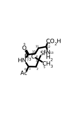 CC(=O)C(CC(C)(C)S)NC(=O)CCC(N)C(=O)O